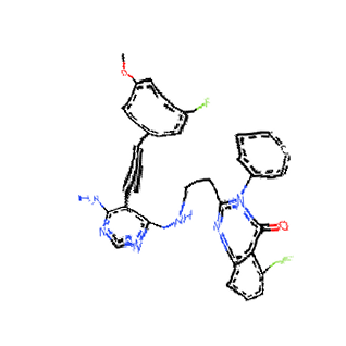 COc1cc(F)cc(C#Cc2c(N)ncnc2NCCc2nc3cccc(F)c3c(=O)n2-c2ccccc2)c1